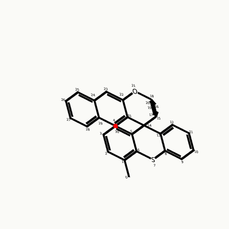 Cc1cccc2c1Sc1ccccc1C21c2ccccc2Oc2cc3ccccc3cc21